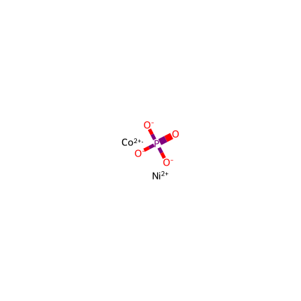 O=P([O-])([O-])[O-].[Co+2].[Ni+2]